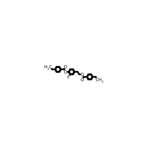 C=Cc1ccc(C(=O)OCCc2ccc(OC(=O)c3ccc(C=C)cc3)c(F)c2)cc1